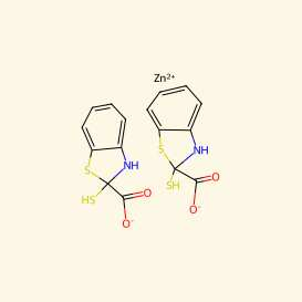 O=C([O-])C1(S)Nc2ccccc2S1.O=C([O-])C1(S)Nc2ccccc2S1.[Zn+2]